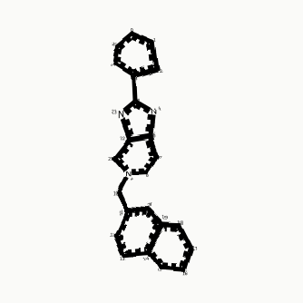 c1ccc(-c2nc3ccn(Cc4ccc5ccccc5c4)cc-3n2)cc1